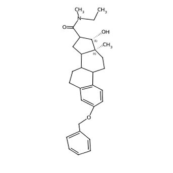 CCN(C)C(=O)C1CC2C3CCc4cc(OCc5ccccc5)ccc4C3CC[C@]2(C)[C@H]1O